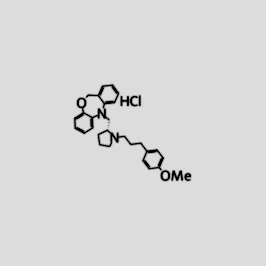 COc1ccc(CCCN2CCC[C@@H]2CN2c3ccccc3COc3ccccc32)cc1.Cl